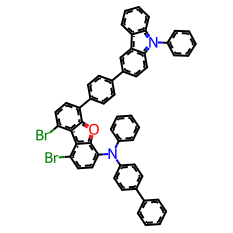 Brc1ccc(-c2ccc(-c3ccc4c(c3)c3ccccc3n4-c3ccccc3)cc2)c2oc3c(N(c4ccccc4)c4ccc(-c5ccccc5)cc4)ccc(Br)c3c12